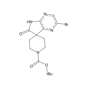 CC(C)(C)OC(=O)N1CCC2(CC1)C(=O)Nc1ncc(Br)nc12